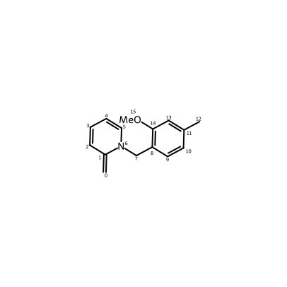 C=C1C=CC=CN1Cc1ccc(C)cc1OC